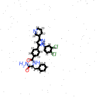 NC(=O)[C@H](Cc1ccccc1)NC(=O)c1ccc(-c2cc(-c3cccnc3)nn2-c2ccc(Cl)c(Cl)c2)cc1